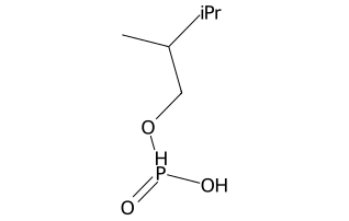 CC(C)C(C)CO[PH](=O)O